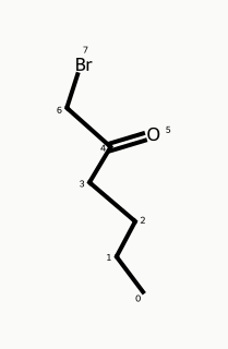 CCCCC(=O)CBr